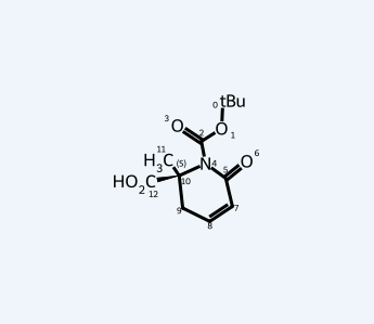 CC(C)(C)OC(=O)N1C(=O)C=CC[C@@]1(C)C(=O)O